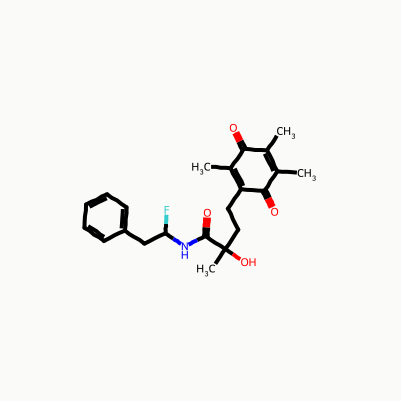 CC1=C(C)C(=O)C(CCC(C)(O)C(=O)NC(F)Cc2ccccc2)=C(C)C1=O